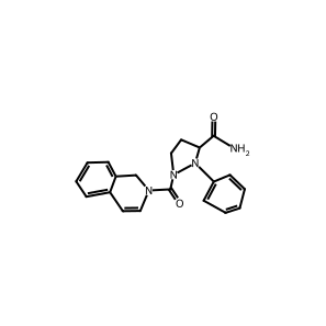 NC(=O)C1CCN(C(=O)N2C=Cc3ccccc3C2)N1c1ccccc1